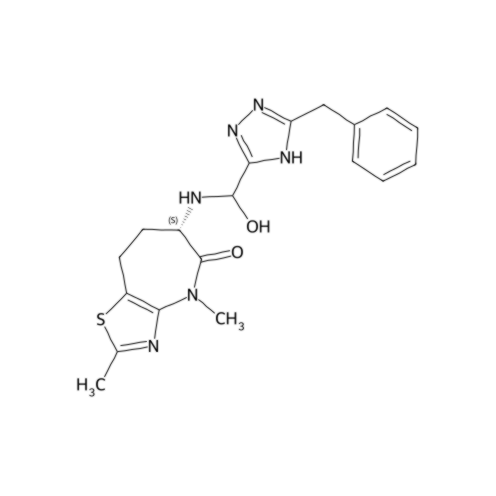 Cc1nc2c(s1)CC[C@H](NC(O)c1nnc(Cc3ccccc3)[nH]1)C(=O)N2C